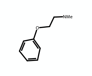 CNCCOc1ccccc1